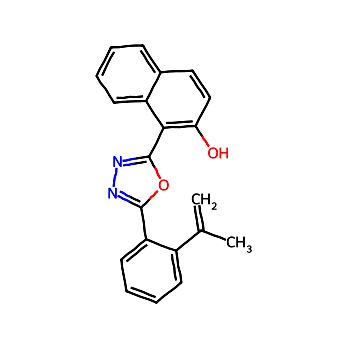 C=C(C)c1ccccc1-c1nnc(-c2c(O)ccc3ccccc23)o1